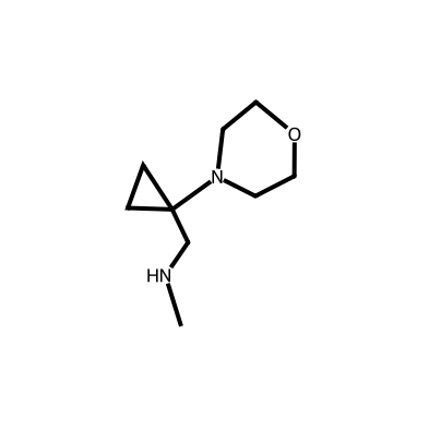 CNCC1(N2CCOCC2)CC1